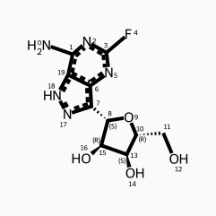 Nc1nc(F)nc2c([C@@H]3O[C@H](CO)[C@@H](O)[C@H]3O)n[nH]c12